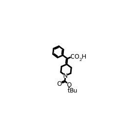 CC(C)(C)OC(=O)N1CCC(=C(C(=O)O)c2ccccc2)CC1